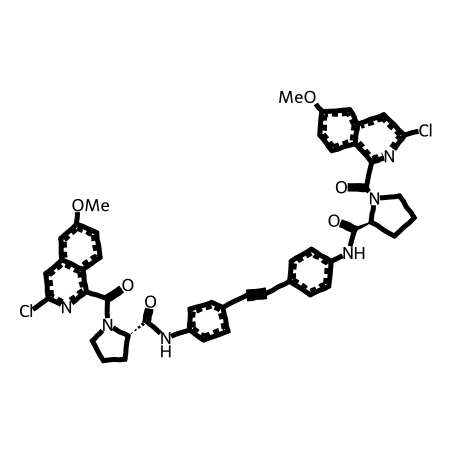 COc1ccc2c(C(=O)N3CCC[C@H]3C(=O)Nc3ccc(C#Cc4ccc(NC(=O)[C@@H]5CCCN5C(=O)c5nc(Cl)cc6cc(OC)ccc56)cc4)cc3)nc(Cl)cc2c1